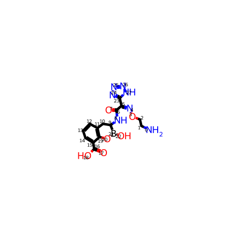 NCCON=C(C(=O)NC1Cc2cccc(C(=O)O)c2OB1O)c1nnn[nH]1